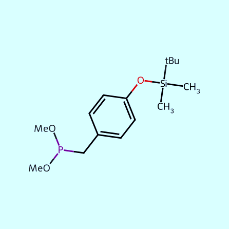 COP(Cc1ccc(O[Si](C)(C)C(C)(C)C)cc1)OC